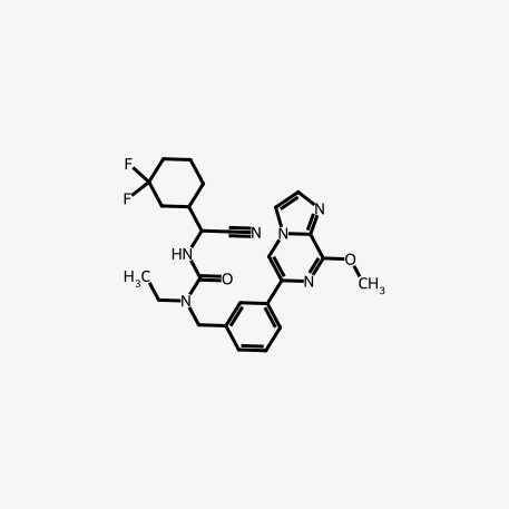 CCN(Cc1cccc(-c2cn3ccnc3c(OC)n2)c1)C(=O)NC(C#N)C1CCCC(F)(F)C1